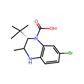 CC1Nc2ccc(Br)cc2N(C(=O)O)[C@H]1C(C)(C)C